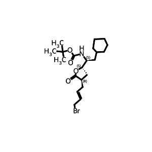 CC(C)(C)OC(=O)N[C@@H](CC1CCCCC1)[C@@H]1C[C@@H](CC=CCBr)C(=O)O1